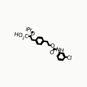 CC(C)OC(Cc1ccc(CCOC(=O)Nc2cccc(Cl)c2)cc1)C(=O)O